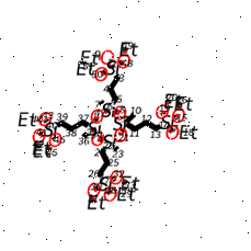 CCO[Si](CCC[Si]1(C)O[Si](C)(CCC[Si](OCC)(OCC)OCC)O[Si](C)(CCC[Si](OCC)(OCC)OCC)O[Si](C)(CCC[Si](OCC)(OCC)OCC)O1)(OCC)OCC